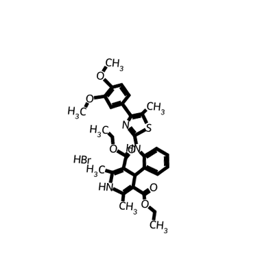 Br.CCOC(=O)C1=C(C)NC(C)=C(C(=O)OCC)C1c1ccccc1Nc1nc(-c2ccc(OC)c(OC)c2)c(C)s1